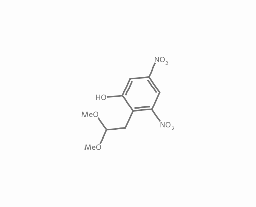 COC(Cc1c(O)cc([N+](=O)[O-])cc1[N+](=O)[O-])OC